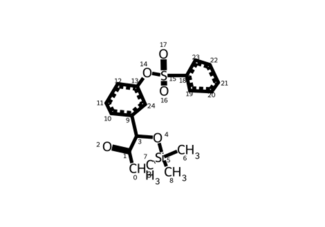 CC(=O)C(O[Si](C)(C)C)c1cccc(OS(=O)(=O)c2ccccc2)c1